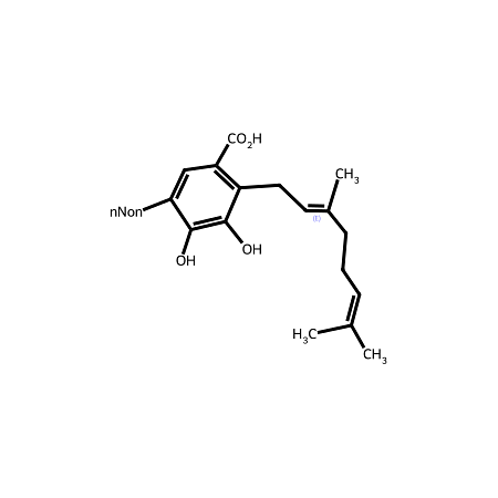 CCCCCCCCCc1cc(C(=O)O)c(C/C=C(\C)CCC=C(C)C)c(O)c1O